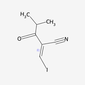 CC(C)C(=O)/C(C#N)=C/I